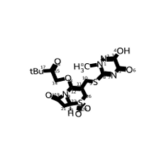 Cn1nc(O)c(=O)nc1SCC1=C(OCC(=O)C(C)(C)C)N2C(=O)C[C@@H]2S(=O)(=O)C1